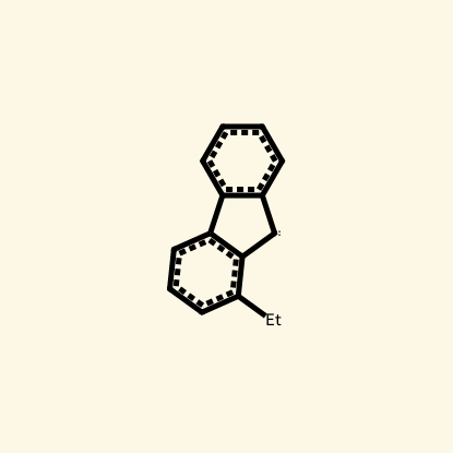 CCc1cccc2c1[C]c1ccccc1-2